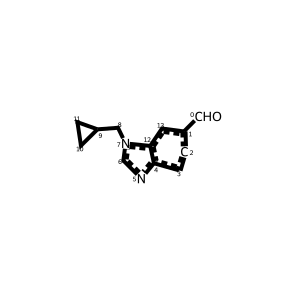 O=Cc1ccc2ncn(CC3CC3)c2c1